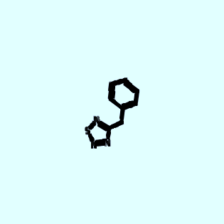 c1ccc(Cc2nnsn2)cc1